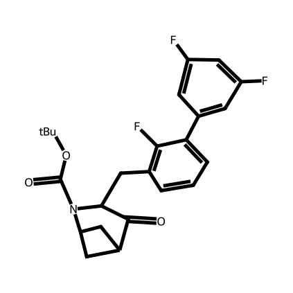 CC(C)(C)OC(=O)N1C2CC(C2)C(=O)C1Cc1cccc(-c2cc(F)cc(F)c2)c1F